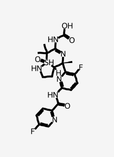 CC1(C)C(NC(=O)O)=N[C@](C)(c2nc(NC(=O)c3ccc(F)cn3)ccc2F)[C@@H]2CCN[SH]21=O